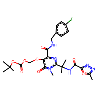 Cc1nnc(C(=O)NC(C)(C)c2nc(C(=O)NCc3ccc(F)cc3)c(OCOC(=O)OC(C)(C)C)c(=O)n2C)o1